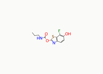 CCCNC(=O)Oc1nc2ccc(O)c(F)c2s1